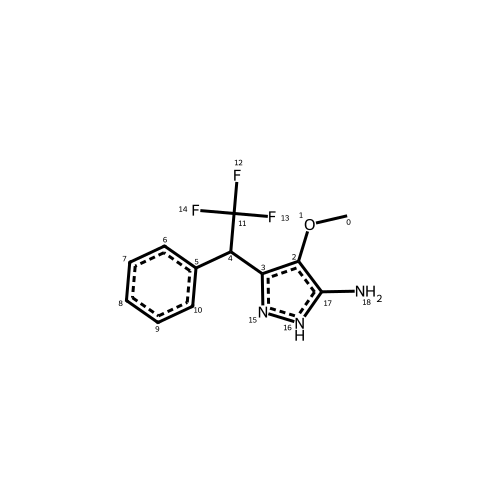 COc1c(C(c2ccccc2)C(F)(F)F)n[nH]c1N